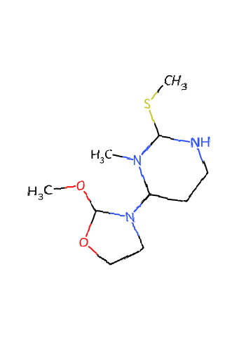 COC1OCCN1C1CCNC(SC)N1C